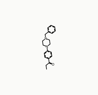 CCC(=O)c1ccc(N2CCN(Cc3ccccc3)CC2)cc1